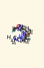 CN(C1CCC1)C1CCN([C@H]2CCCC(F)(F)[C@@H]2NC(=O)N2CCC(C)(c3noc([C@@H]4C[C@@H]4F)n3)CC2C2CCCC2)CC1